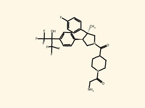 C[C@]1(c2ccc(F)cc2)CN(C(=O)C2CCN(C(=O)CN)CC2)C[C@H]1c1ccc(C(O)(C(F)(F)F)C(F)(F)F)cc1